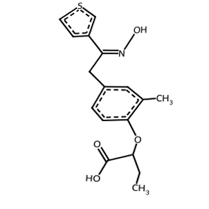 CCC(Oc1ccc(CC(=NO)c2ccsc2)cc1C)C(=O)O